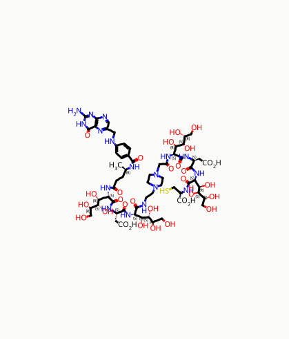 C[C@H](CCC(=O)N[C@H](C(=O)N[C@@H](CC(=O)O)C(=O)N[C@H](C(=O)NCCN1CCN(CC(=O)N[C@H](C(=O)N[C@@H](CC(=O)O)C(=O)N[C@H](C(=O)N[C@H](CS)C(=O)O)[C@@H](O)[C@H](O)[C@H](O)CO)[C@@H](O)[C@H](O)[C@H](O)CO)CC1)[C@@H](O)[C@H](O)[C@H](O)CO)[C@@H](O)[C@H](O)[C@H](O)CO)NC(=O)c1ccc(NCc2cnc3nc(N)[nH]c(=O)c3n2)cc1